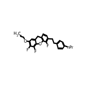 C=CCOc1cc2c(c(F)c1F)Oc1c(ccc(CCc3ccc(CCC)cc3)c1F)C2